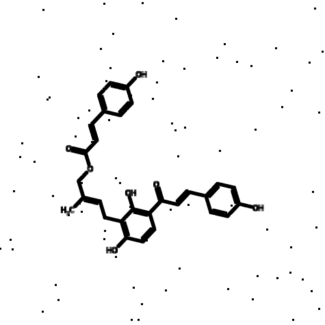 C/C(=C\Cc1c(O)ccc(C(=O)/C=C/c2ccc(O)cc2)c1O)COC(=O)/C=C/c1ccc(O)cc1